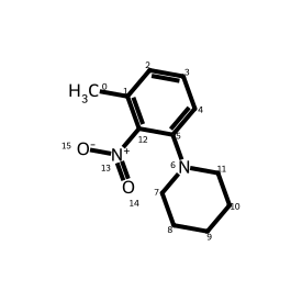 Cc1cccc(N2CCCCC2)c1[N+](=O)[O-]